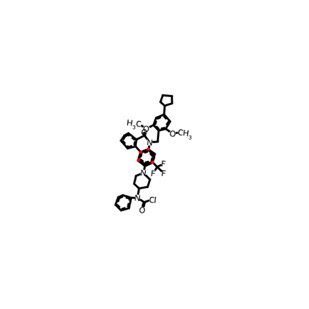 COc1cc(C2CCCC2)cc(OC)c1CN(C(=O)c1ccccc1-c1ccc(C(F)(F)F)cc1)c1ccc(N2CCC(N(C(=O)Cl)c3ccccc3)CC2)cc1